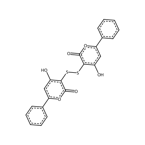 O=c1oc(-c2ccccc2)cc(O)c1SSc1c(O)cc(-c2ccccc2)oc1=O